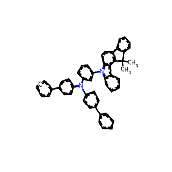 CC1(C)c2ccccc2-c2ccc3c(c21)c1ccccc1n3-c1cccc(N(c2ccc(-c3ccccc3)cc2)c2ccc(-c3ccccc3)cc2)c1